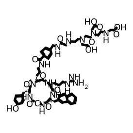 CN1C(=O)[C@@H](Cc2ccc(O)cc2)NC(=O)CNC(=O)[C@H](Cc2ccc3ccccc3c2)NC(=O)[C@H](CCCNC(=N)N)NC(=O)[C@H]1CCCNC(=O)c1ccc(CNC(=O)CNCCN(CCN(CCNCC(=O)O)CC(=O)O)CC(=O)O)cc1